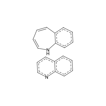 C1=CNc2ccccc2C=C1.c1ccc2ncccc2c1